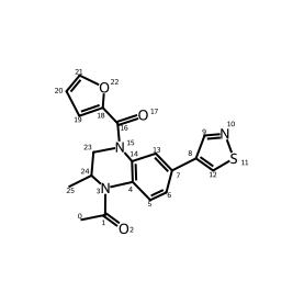 CC(=O)N1c2ccc(-c3cnsc3)cc2N(C(=O)c2ccco2)CC1C